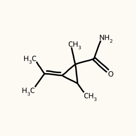 CC(C)=C1C(C)C1(C)C(N)=O